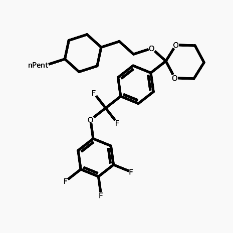 CCCCCC1CCC(CCOC2(c3ccc(C(F)(F)Oc4cc(F)c(F)c(F)c4)cc3)OCCCO2)CC1